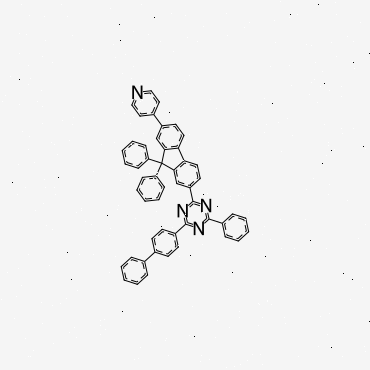 c1ccc(-c2ccc(-c3nc(-c4ccccc4)nc(-c4ccc5c(c4)C(c4ccccc4)(c4ccccc4)c4cc(-c6ccncc6)ccc4-5)n3)cc2)cc1